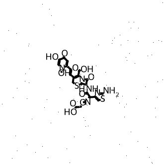 Nc1nc(/C(=N/OCC(=O)O)C(=O)N[C@@H]2C(=O)N3C(C(=O)O)=C(C=Cc4cc(=O)c(O)cn4O)CS[C@H]23)cs1